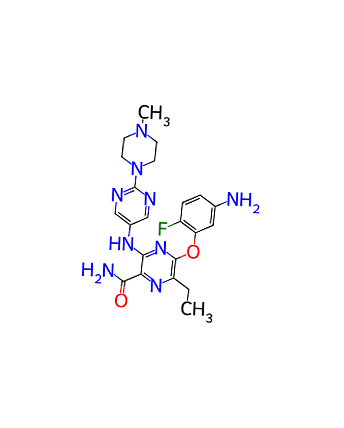 CCc1nc(C(N)=O)c(Nc2cnc(N3CCN(C)CC3)nc2)nc1Oc1cc(N)ccc1F